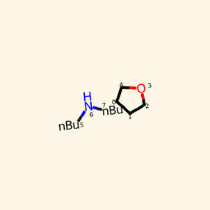 C1CCOC1.CCCCNCCCC